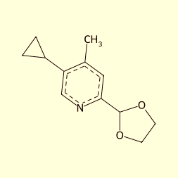 Cc1cc(C2OCCO2)ncc1C1CC1